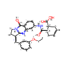 CCOc1cccc(/C=C2/CCn3c2nc2cc(NC(=O)[C@@H]4CC=CC[C@@H]4C(=O)O)ccc2c3=O)c1